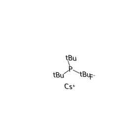 CC(C)(C)P(C(C)(C)C)C(C)(C)C.[Cs+].[F-]